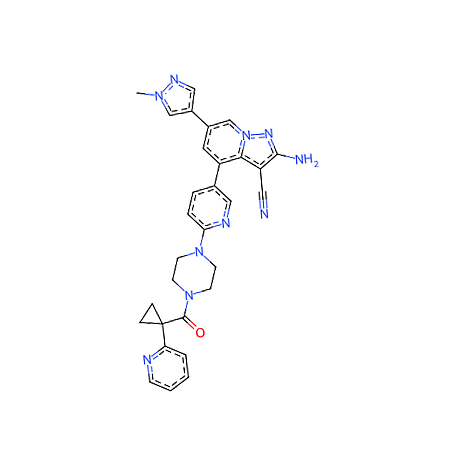 Cn1cc(-c2cc(-c3ccc(N4CCN(C(=O)C5(c6ccccn6)CC5)CC4)nc3)c3c(C#N)c(N)nn3c2)cn1